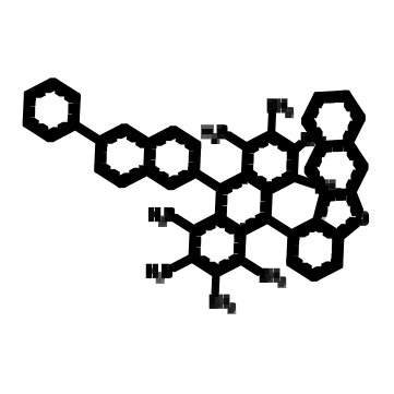 Bc1c(B)c(B)c2c(-c3cccc4oc5cc6ccccc6cc5c34)c3c(B)c(B)c(B)c(B)c3c(-c3ccc4cc(-c5ccccc5)ccc4c3)c2c1B